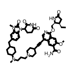 CC[C@@H]1CC(=O)N[C@@H]1COc1ncc(C#CC2CCN(CCCN(C)C3CCC(Cc4ccc5c(c4)n(C)c(=O)n5C4CCC(=O)NC4=O)CC3)CC2)c2cc(C(N)=O)c(OC)cc12